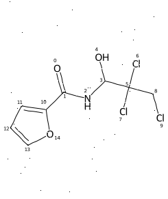 O=C(NC(O)C(Cl)(Cl)CCl)c1ccco1